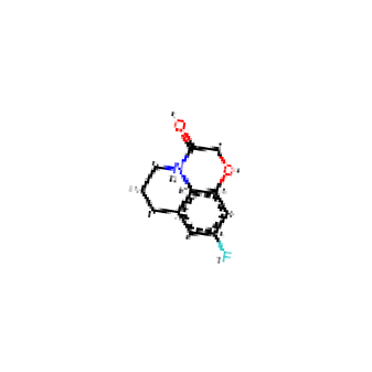 O=C1COc2cc(F)cc3c2N1CCC3